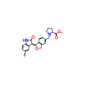 COC(=O)[C@@H]1CCCN1Cc1ccc2c(c1)CO/C2=C1/C(=O)Nc2ccc(F)cc21